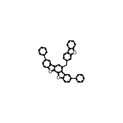 c1ccc(-c2ccc3oc4c(cc(Cc5ccc6c(c5)oc5ccccc56)c5c6cc(-c7ccccc7)ccc6oc45)c3c2)cc1